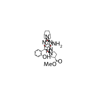 COC(=O)[C@@H]1CCN(Cc2cnc(N3C4CCC3CN(c3cc(-c5ccccc5O)nnc3N)C4)nc2)C1